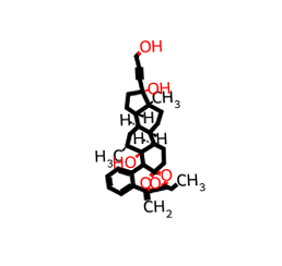 C=C(OCC)c1ccccc1C1C2(CC[C@@H]3[C@H]4CC[C@@]5(C)[C@@H](CC[C@@]5(O)C#CCO)[C@@H]4C[C@@H](C)[C@@]13O)OCCO2